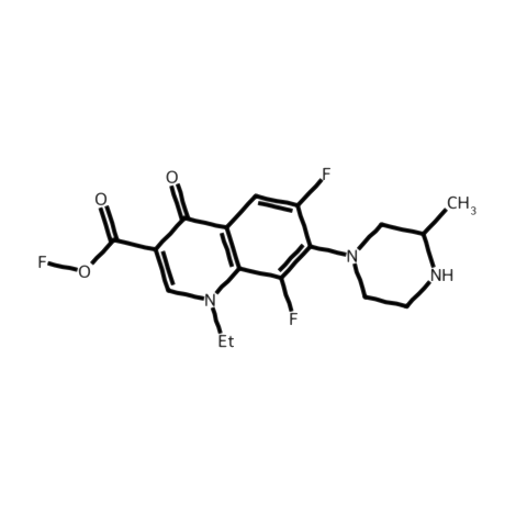 CCn1cc(C(=O)OF)c(=O)c2cc(F)c(N3CCNC(C)C3)c(F)c21